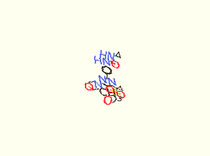 C[C@H]1COCCN1c1cc(C2(S(=O)(=O)C3CCOC3)CC2)nc(-c2ccc(NC(=O)NC3CC3)cc2)n1